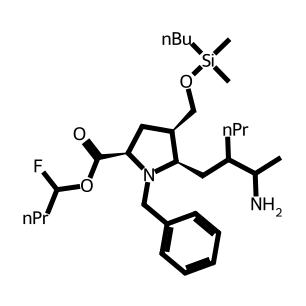 CCCC[Si](C)(C)OC[C@@H]1C[C@H](C(=O)OC(F)CCC)N(Cc2ccccc2)[C@@H]1CC(CCC)C(C)N